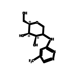 OC[C@H]1OCC(Nc2cc(C(F)(F)F)cnn2)[C@@H](O)[C@H]1O